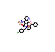 CN(c1c2c(c(OC(c3ccccc3)c3ccccc3)c3ncccc13)C(=O)N(Cc1ccc(F)cc1)C2(C)C)S(C)(=O)=O